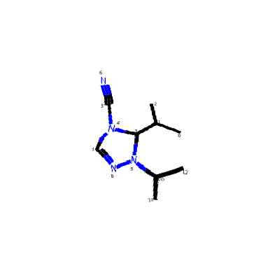 CC(C)C1N(C#N)C=NN1C(C)C